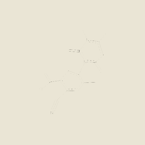 Cc1cc(=O)n(-c2cc(C(=O)Cl)c(C#N)cc2F)c(=O)n1C